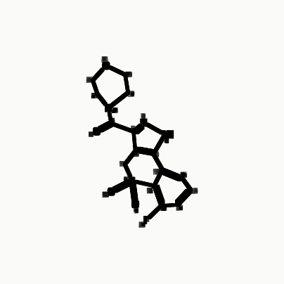 O=C(c1n[nH]c2c1CS(=O)(=O)c1c(F)cccc1-2)N1CCOCC1